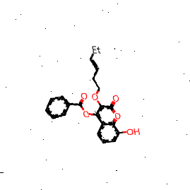 CCC=CCCOc1c(OC(=O)c2ccccc2)c2cccc(O)c2oc1=O